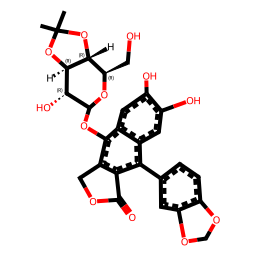 CC1(C)O[C@H]2[C@H](O1)[C@@H](O)C(Oc1c3c(c(-c4ccc5c(c4)OCO5)c4cc(O)c(O)cc14)C(=O)OC3)O[C@@H]2CO